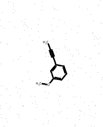 CC#Cc1cccc(OC)c1